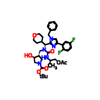 CC(=O)OC[C@@H](C)NC(=O)N(C[C@@H]1CN(C(=O)OC(C)(C)C)C[C@H]1O)[C@@H](c1nc(-c2cc(F)ccc2F)cn1Cc1ccccc1)C1CCOCC1